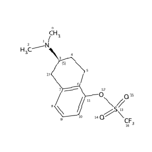 CN(C)[C@H]1CCc2c(cccc2OS(=O)(=O)C(F)(F)F)C1